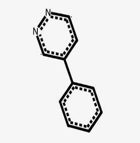 [c]1cc(-c2ccccc2)[c]nn1